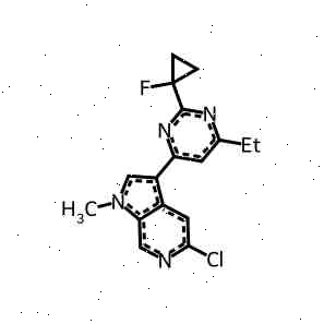 CCc1cc(-c2cn(C)c3cnc(Cl)cc23)nc(C2(F)CC2)n1